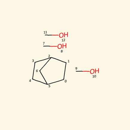 C1CC2CCC1C2.CO.CO.CO